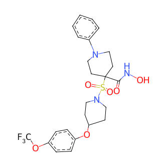 O=C(NO)C1(S(=O)(=O)N2CCC(Oc3ccc(OC(F)(F)F)cc3)CC2)CCN(c2ccccc2)CC1